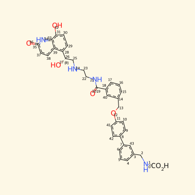 O=C(O)NCc1cccc(-c2ccc(OCc3cccc(C(=O)NCCNC[C@H](O)c4ccc(O)c5[nH]c(=O)ccc45)c3)cc2)c1